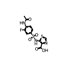 CC(=O)Nc1ccc(S(=O)(=O)Nc2scnc2C(=O)O)cc1F